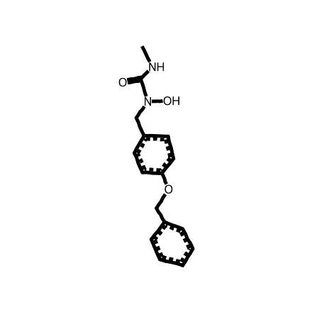 CNC(=O)N(O)Cc1ccc(OCc2ccccc2)cc1